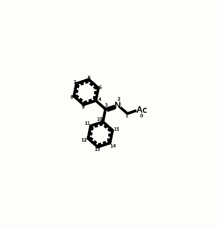 CC(=O)CN=C(c1ccccc1)c1ccccc1